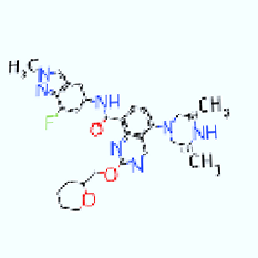 C[C@@H]1CN(c2ccc(C(=O)Nc3cc(F)c4nn(C)cc4c3)c3nc(OCC4CCCCO4)ncc23)C[C@H](C)N1